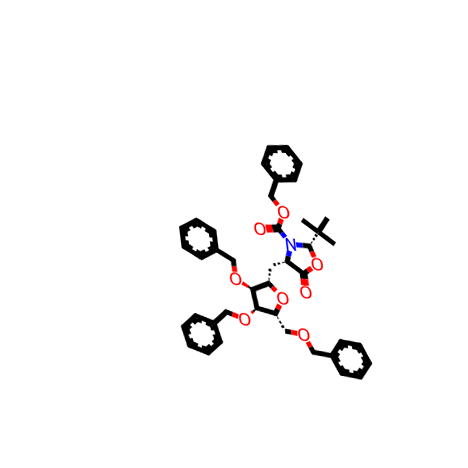 CC(C)(C)[C@@H]1OC(=O)[C@H](C[C@@H]2O[C@H](COCc3ccccc3)[C@H](OCc3ccccc3)[C@H]2OCc2ccccc2)N1C(=O)OCc1ccccc1